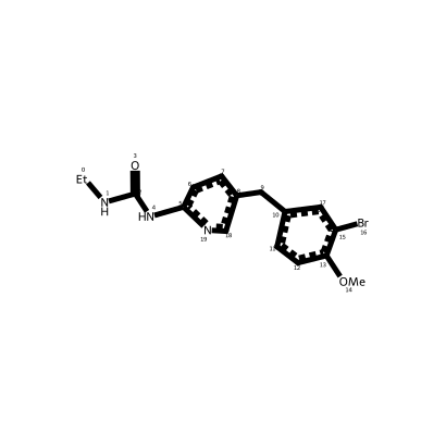 CCNC(=O)Nc1ccc(Cc2ccc(OC)c(Br)c2)cn1